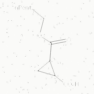 CCCCCCOC(=O)C1CC1C(=O)O